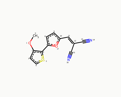 COc1ccsc1-c1ccc(C=C(C#N)C#N)o1